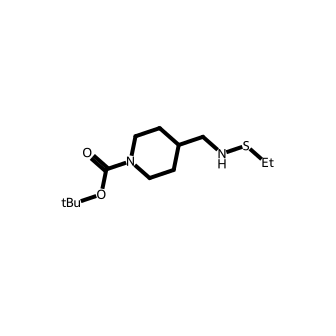 CCSNCC1CCN(C(=O)OC(C)(C)C)CC1